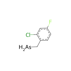 Fc1ccc(C[AsH2])c(Cl)c1